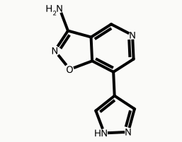 Nc1noc2c(-c3cn[nH]c3)cncc12